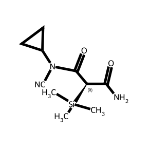 C[Si](C)(C)[C@H](C(N)=O)C(=O)N(C#N)C1CC1